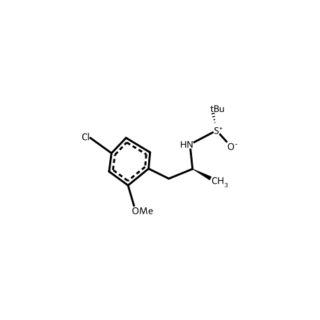 COc1cc(Cl)ccc1C[C@H](C)N[S@@+]([O-])C(C)(C)C